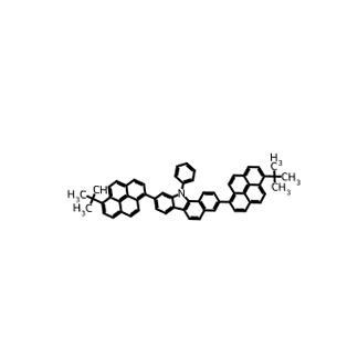 CC(C)(C)c1ccc2ccc3c(-c4ccc5c(ccc6c7ccc(-c8ccc9ccc%10c(C(C)(C)C)ccc%11ccc8c9c%11%10)cc7n(-c7ccccc7)c56)c4)ccc4ccc1c2c43